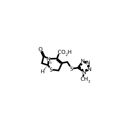 Cn1nnnc1SCC1=C(C(=O)O)N2C(=O)C[C@@H]2SC1